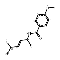 COc1ccc(C(=O)NC(F)C=CC(F)F)cc1